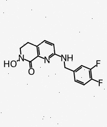 O=C1c2nc(NCc3ccc(F)c(F)c3)ccc2CCN1O